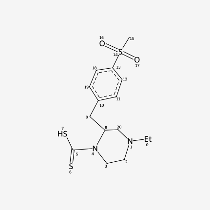 CCN1CCN(C(=S)S)C(Cc2ccc(S(C)(=O)=O)cc2)C1